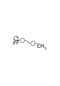 CCC1CCC(CCC2CCC(C3(F)C=CCC=C3F)CC2)CC1